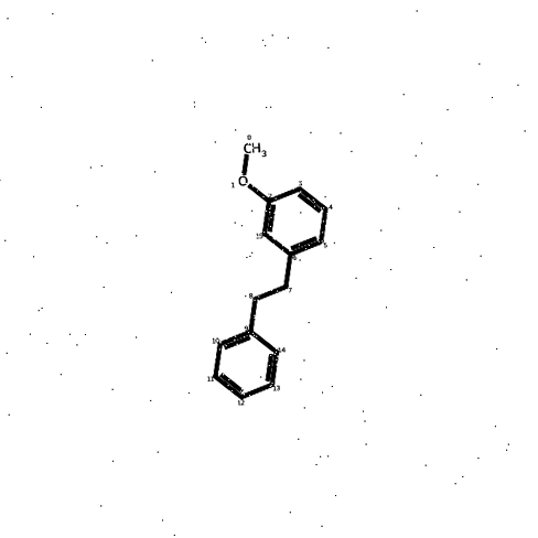 COc1[c]ccc(CCc2ccccc2)c1